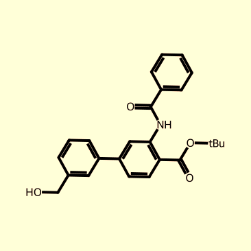 CC(C)(C)OC(=O)c1ccc(-c2cccc(CO)c2)cc1NC(=O)c1ccccc1